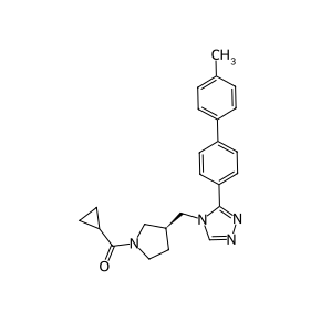 Cc1ccc(-c2ccc(-c3nncn3C[C@H]3CCN(C(=O)C4CC4)C3)cc2)cc1